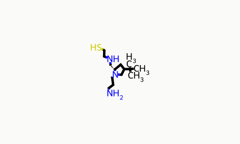 CC(C)(C)C1C[C@@H](CNCCS)N(CCCN)C1